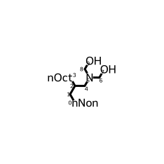 CCCCCCCCCCC(CCCCCCCC)CN(CO)CO